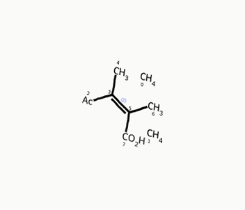 C.C.CC(=O)/C(C)=C(/C)C(=O)O